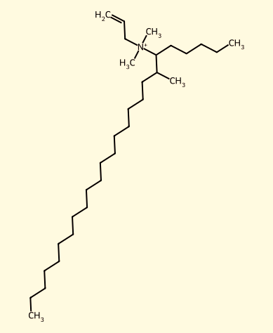 C=CC[N+](C)(C)C(CCCCC)C(C)CCCCCCCCCCCCCCCCCC